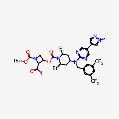 CCC1CC(N(Cc2cc(C(F)(F)F)cc(C(F)(F)F)c2)c2ncc(-c3cnn(C)c3)cn2)CC(CC)N1C(=O)OC1CN(C(=O)OC(C)(C)C)C1C(=O)I